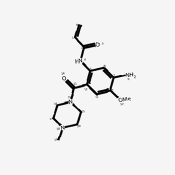 C=CC(=O)Nc1cc(N)c(OC)cc1C(=O)N1CCN(C)CC1